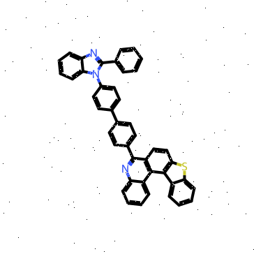 c1ccc(-c2nc3ccccc3n2-c2ccc(-c3ccc(-c4nc5ccccc5c5c4ccc4sc6ccccc6c45)cc3)cc2)cc1